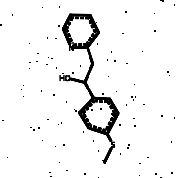 CSc1ccc(C(O)Cc2ccccn2)cc1